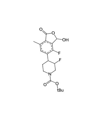 Cc1cc(C2CCN(C(=O)OC(C)(C)C)CC2F)c(F)c2c1C(=O)OC2O